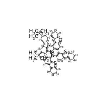 CC(C)(C)c1ccc2c(c1)c1cc(C(C)(C)C)cc3c1n2-c1c2c(cc4oc5ccccc5c14)-c1c(ccc4c1sc1ccccc14)N(c1cccc4c1sc1ccccc14)B23